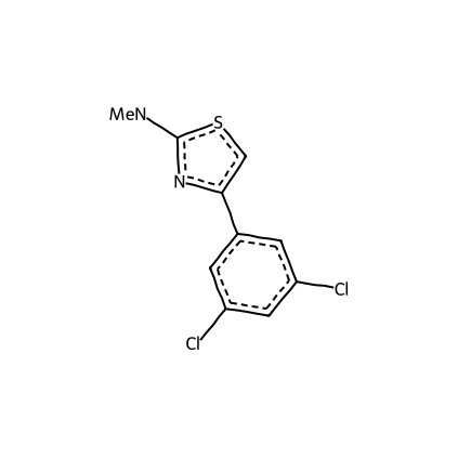 CNc1nc(-c2cc(Cl)cc(Cl)c2)cs1